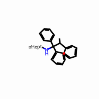 CCCCCCCNC(c1ccccc1)(c1ccccc1)C(C)c1ccccc1